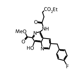 CCOC(=O)CCC(=O)Nc1nc(C(=O)OC)c(O)c2ncc(Cc3ccc(F)cc3)cc12